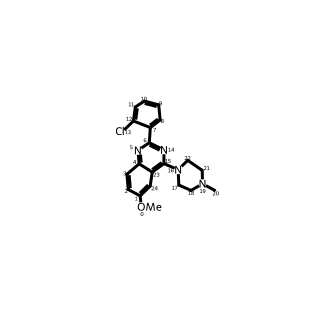 COc1ccc2nc(-c3ccccc3Cl)nc(N3CCN(C)CC3)c2c1